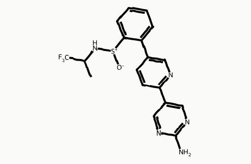 CC(N[S+]([O-])c1ccccc1-c1ccc(-c2cnc(N)nc2)nc1)C(F)(F)F